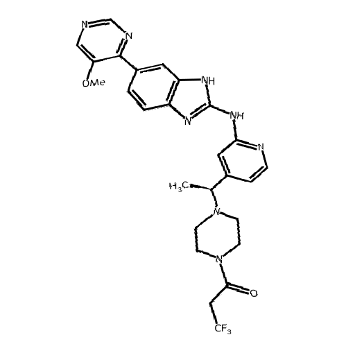 COc1cncnc1-c1ccc2nc(Nc3cc([C@H](C)N4CCN(C(=O)CC(F)(F)F)CC4)ccn3)[nH]c2c1